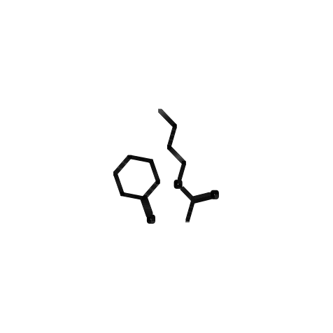 CCCCOC(C)=O.O=C1CCCCC1